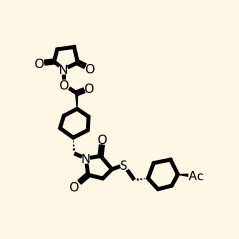 CC(=O)[C@H]1CC[C@H](CSC2CC(=O)N(C[C@H]3CC[C@H](C(=O)ON4C(=O)CCC4=O)CC3)C2=O)CC1